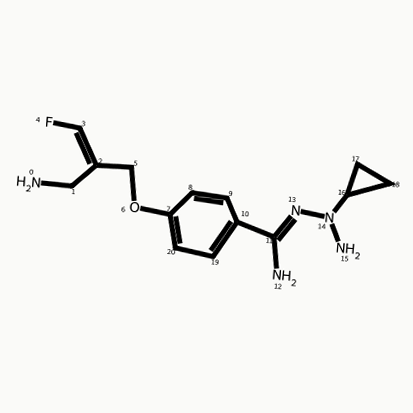 NC/C(=C\F)COc1ccc(/C(N)=N/N(N)C2CC2)cc1